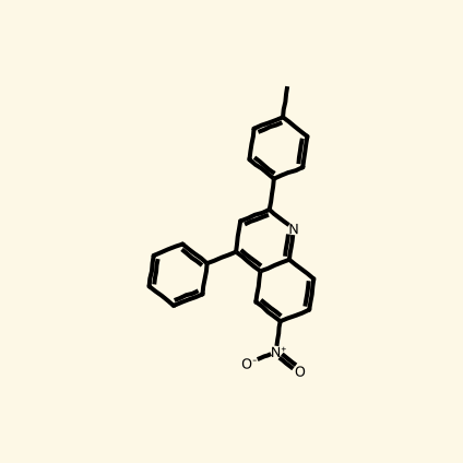 Cc1ccc(-c2cc(-c3ccccc3)c3cc([N+](=O)[O-])ccc3n2)cc1